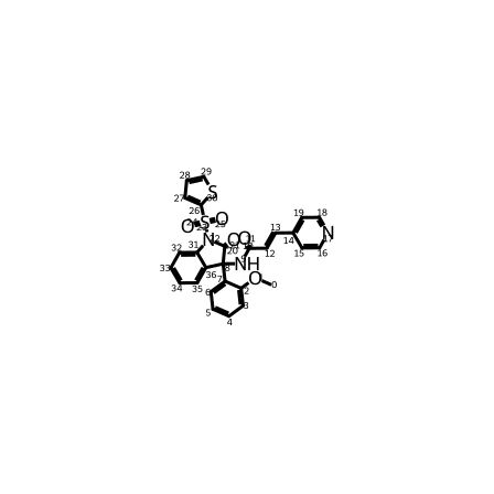 COc1ccccc1C1(NC(=O)C=Cc2ccncc2)C(=O)N(S(=O)(=O)c2cccs2)c2ccccc21